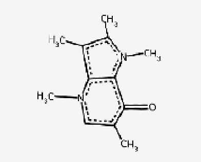 Cc1cn(C)c2c(C)c(C)n(C)c2c1=O